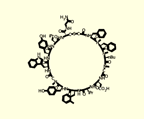 CCCC[C@H]1C(=O)N(C)CC(=O)N[C@@H](CC(=O)O)C(=O)N[C@@H](C(C)C)C(=O)N[C@@H](Cc2ccccc2C)C(=O)N[C@@H](Cc2ccc(O)cc2)C(=O)N(C)CC(=O)N[C@@H](Cc2c[nH]c3ccccc23)C(=O)N[C@@H](Cc2ccc(O)cc2)C(=O)N[C@@H](CC(C)C)C(=O)N[C@H](C(=O)NCC(N)=O)CSCC(=O)N[C@@H](Cc2ccccc2)C(=O)N(C)[C@@H](Cc2ccccc2)C(=O)N1C